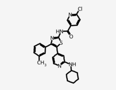 Cc1cccc(-c2nc(NC(=O)c3ccc(Cl)nc3)sc2-c2ccnc(NC3CCCCC3)c2)c1